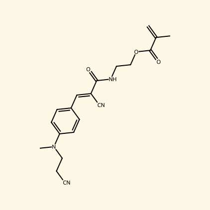 C=C(C)C(=O)OCCNC(=O)/C(C#N)=C/c1ccc(N(C)CCC#N)cc1